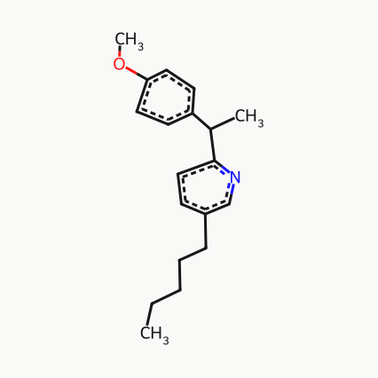 CCCCCc1ccc(C(C)c2ccc(OC)cc2)nc1